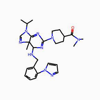 CC(C)N1C=NC2(C)C1=NC(N1CCC(C(=O)N(C)C)CC1)=NC2NCc1ccccc1-n1cccn1